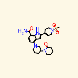 CS(=O)(=O)N1CC=C(c2cc3c(N4CCC[C@@H](N5CCCCC5=O)C4)ccc(C(N)=O)c3[nH]2)CC1